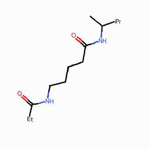 CCC(=O)NCCCCC(=O)NC(C)C(C)C